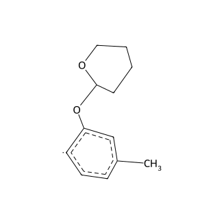 Cc1cc[c]c(OC2CCCCO2)c1